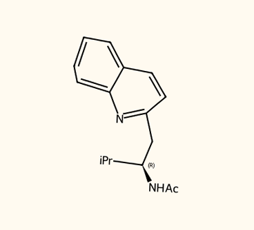 CC(=O)N[C@H](Cc1ccc2ccccc2n1)C(C)C